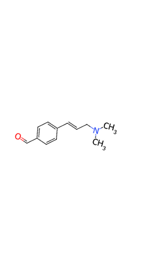 CN(C)C/C=C/c1ccc(C=O)cc1